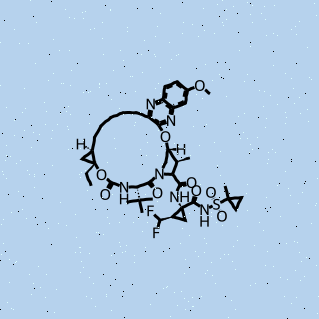 CC[C@@]12C[C@H]1CCCCCc1nc3ccc(OC)cc3nc1O[C@H]1CN(C(=O)[C@H](C(C)(C)C)NC(=O)O2)C(C(=O)N[C@]2(C(=O)NS(=O)(=O)C3(C)CC3)C[C@H]2C(F)F)[C@@H]1C